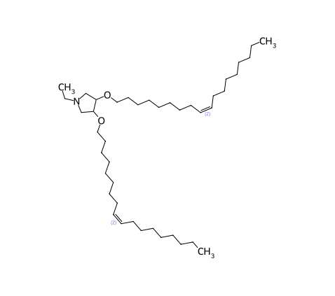 CCCCCCCC/C=C\CCCCCCCCOC1CN(CC)CC1OCCCCCCCC/C=C\CCCCCCCC